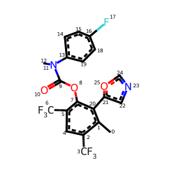 Cc1c(C(F)(F)F)cc(C(F)(F)F)c(OC(=O)N(C)c2ccc(F)cc2)c1-c1cnco1